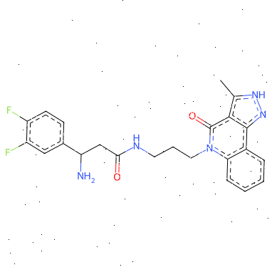 Cc1[nH]nc2c1c(=O)n(CCCNC(=O)CC(N)c1ccc(F)c(F)c1)c1ccccc21